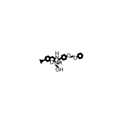 O=C(NCCO)/C(=C\c1ccc(C2CC2)cc1)NC(=O)c1ccc(OCCOc2ccccc2)cc1